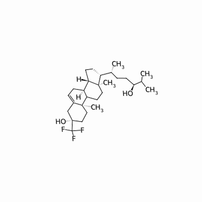 CC(C)[C@@H](O)CC[C@@H](C)[C@H]1CC[C@H]2[C@@H]3CC=C4C[C@](O)(C(F)(F)F)CC[C@]4(C)C3CC[C@]12C